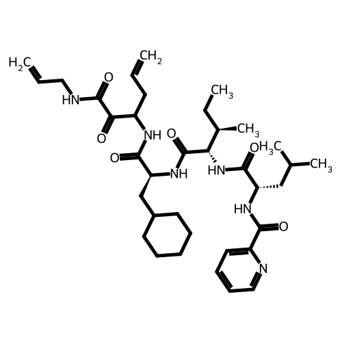 C=CCNC(=O)C(=O)C(CC=C)NC(=O)[C@H](CC1CCCCC1)NC(=O)[C@@H](NC(=O)[C@H](CC(C)C)NC(=O)c1ccccn1)[C@H](C)CC